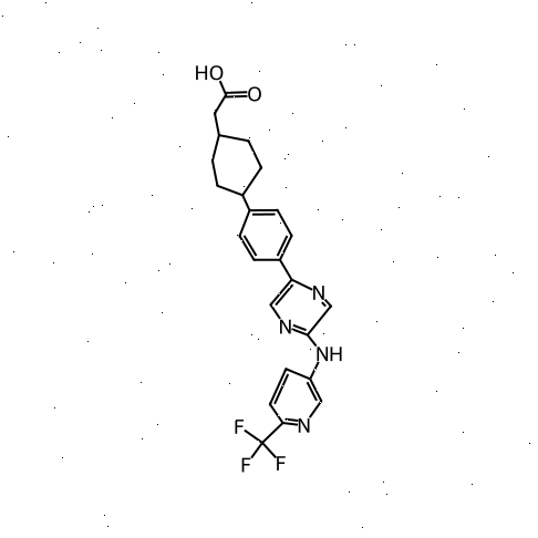 O=C(O)CC1CCC(c2ccc(-c3cnc(Nc4ccc(C(F)(F)F)nc4)cn3)cc2)CC1